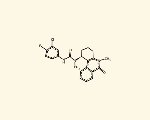 CN(C(=O)Nc1ccc(F)c(Cl)c1)[C@H]1CCCc2c1c1ccccc1c(=O)n2C